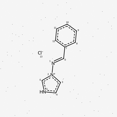 C(=N[n+]1cc[nH]c1)c1ccccc1.[Cl-]